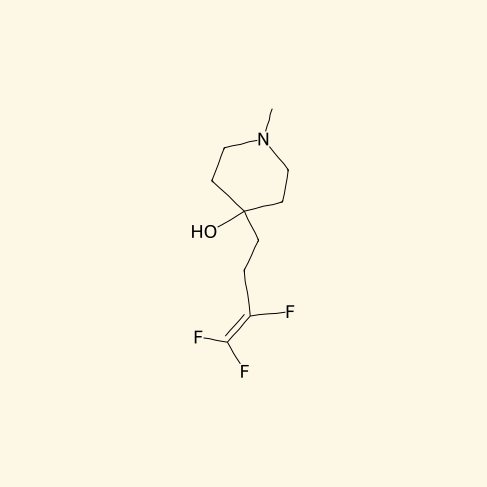 CN1CCC(O)(CCC(F)=C(F)F)CC1